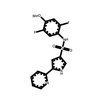 COc1cc(F)c(NS(=O)(=O)c2c[nH]c(-c3ccccn3)c2)cc1F